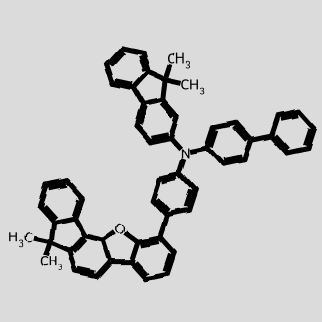 CC1(C)C2=C(c3ccccc31)C1Oc3c(-c4ccc(N(c5ccc(-c6ccccc6)cc5)c5ccc6c(c5)C(C)(C)c5ccccc5-6)cc4)cccc3C1C=C2